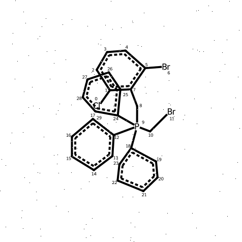 Clc1cccc(Br)c1CP(CBr)(c1ccccc1)(c1ccccc1)c1ccccc1